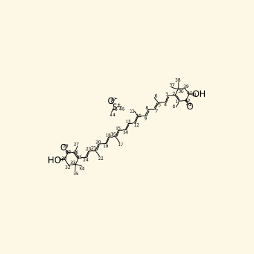 CC1=C(/C=C/C(C)=C/C=C/C(C)=C/C=C/C=C(C)/C=C/C=C(C)/C=C/C2=C(C)C(=O)C(O)CC2(C)C)C(C)(C)CC(O)C1=O.C[S+](C)[O-]